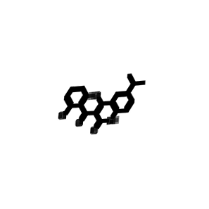 CC(C)c1ccc2[nH]c(=O)c(C(=O)c3ccccc3Cl)c(O)c2c1